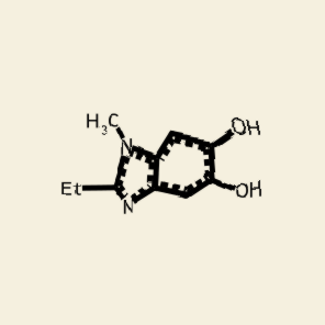 CCc1nc2cc(O)c(O)cc2n1C